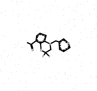 CC(=O)c1cccc2c1OC(F)(F)CN2Cc1cccnc1